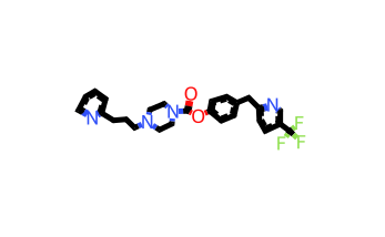 O=C(Oc1ccc(Cc2ccc(C(F)(F)F)cn2)cc1)N1CCN(CCCc2ccccn2)CC1